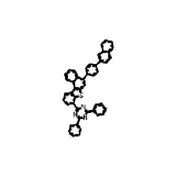 c1ccc(-c2nc(-c3ccccc3)nc(-c3cccc4c3sc3cc(-c5ccc(-c6ccc7ccccc7c6)cc5)c5ccccc5c34)n2)cc1